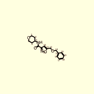 O=C(NC1CCOCC1)c1cc(COCc2ccccc2)on1